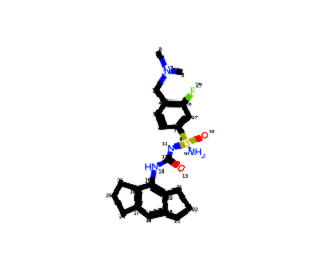 CN(C)Cc1ccc([S@@](N)(=O)=NC(=O)Nc2c3c(cc4c2CCC4)CCC3)cc1F